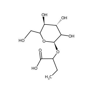 CCC(O[C@H]1OC(CO)[C@@H](O)[C@H](O)C1O)C(=O)O